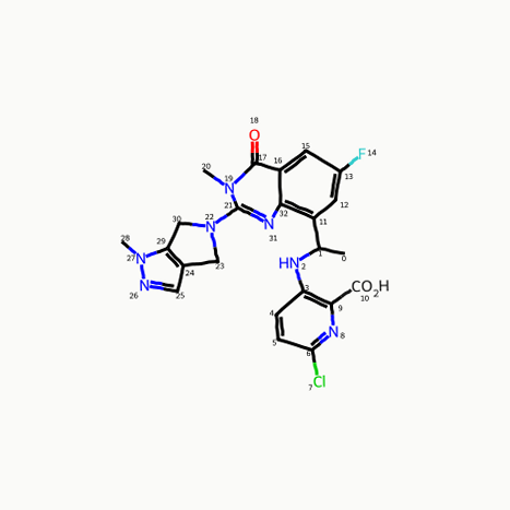 CC(Nc1ccc(Cl)nc1C(=O)O)c1cc(F)cc2c(=O)n(C)c(N3Cc4cnn(C)c4C3)nc12